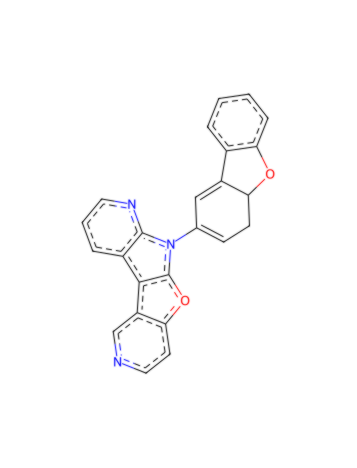 C1=C2c3ccccc3OC2CC=C1n1c2ncccc2c2c3cnccc3oc21